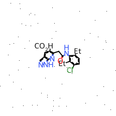 CCc1ccc(Cl)c(CC)c1NC(=O)Cc1nc2[nH]ncc2cc1C(=O)O